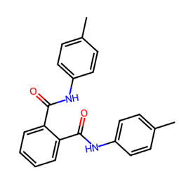 Cc1ccc(NC(=O)c2ccccc2C(=O)Nc2ccc(C)cc2)cc1